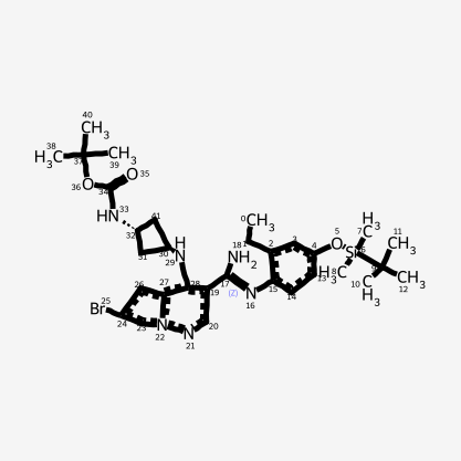 CCc1cc(O[Si](C)(C)C(C)(C)C)ccc1/N=C(\N)c1cnn2cc(Br)cc2c1N[C@H]1C[C@H](NC(=O)OC(C)(C)C)C1